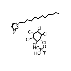 CCCCCCCCCCCCN1C=CN(C)C1.Cl[C@H]1[C@H](Cl)[C@@H](Cl)[C@@H](Cl)[C@H](Cl)[C@H]1Cl.O=P(O)(O)F